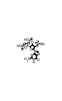 CC(C)(C)[Si](C)(C)OC1C(OP(=O)(O)O)[C@@H](COP(=O)(O)O)O[C@H]1n1cnc2c(=O)[nH]c(N)nc21